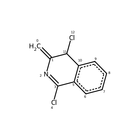 C=C1N=C(Cl)c2ccccc2C1Cl